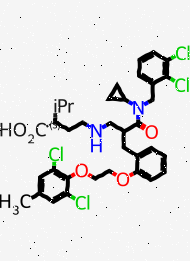 Cc1cc(Cl)c(OCCOc2ccccc2CC(CNCC[C@H](C(=O)O)C(C)C)C(=O)N(Cc2cccc(Cl)c2Cl)C2CC2)c(Cl)c1